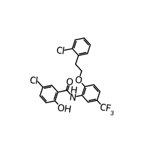 O=C(Nc1cc(C(F)(F)F)ccc1OCCc1ccccc1Cl)c1cc(Cl)ccc1O